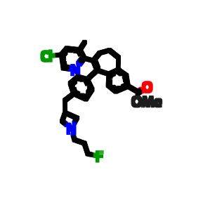 COC(=O)c1ccc2c(c1)CCCC(c1ncc(Cl)cc1C)=C2c1ccc(CC2CN(CCCF)C2)cc1